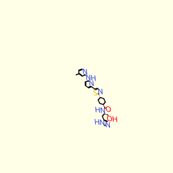 Cc1ccnc(Nc2cccc(-c3cnc([C@H]4CC[C@H](C(=O)N[C@@H](CO)Cc5cnc[nH]5)CC4)s3)n2)c1